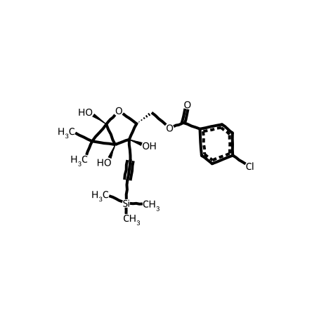 CC1(C)[C@@]2(O)[C@@](O)(C#C[Si](C)(C)C)[C@@H](COC(=O)c3ccc(Cl)cc3)O[C@@]12O